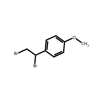 COc1ccc(C(Br)CBr)cc1